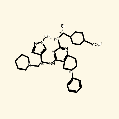 CC[C@@H](Nc1nc2c(c(N[C@@H](CN3CCCCC3)c3cnn(C)c3)n1)C[C@H](c1ccccc1)CC2)C1CCC(C(=O)O)CC1